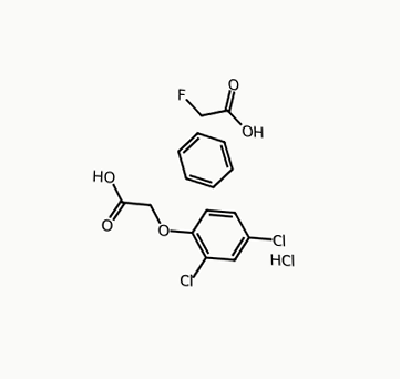 Cl.O=C(O)CF.O=C(O)COc1ccc(Cl)cc1Cl.c1ccccc1